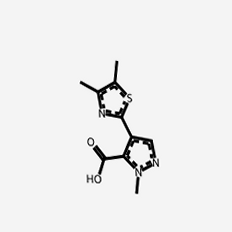 Cc1nc(-c2cnn(C)c2C(=O)O)sc1C